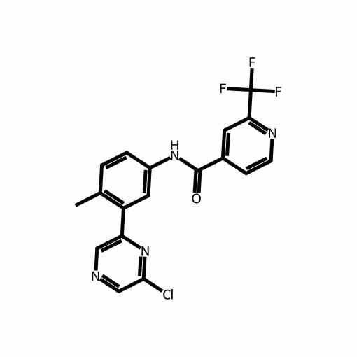 Cc1ccc(NC(=O)c2ccnc(C(F)(F)F)c2)cc1-c1cncc(Cl)n1